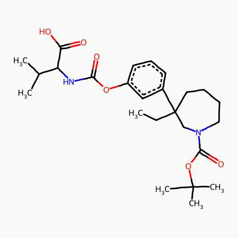 CCC1(c2cccc(OC(=O)NC(C(=O)O)C(C)C)c2)CCCCN(C(=O)OC(C)(C)C)C1